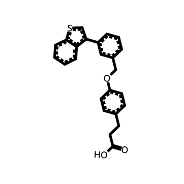 O=C(O)CCc1ccc(OCc2cccc(-c3csc4ccccc34)c2)cc1